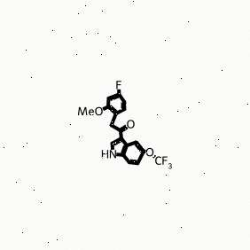 COc1cc(F)ccc1CC(=O)c1c[nH]c2ccc(OC(F)(F)F)cc12